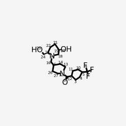 O=C(C1CCC(C(F)(F)F)CC1)N1CCC(CN2C[C@H](O)CC[C@@H]2CO)CC1